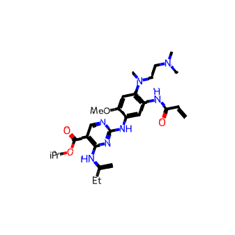 C=CC(=O)Nc1cc(Nc2ncc(C(=O)OC(C)C)c(NC(=C)CC)n2)c(OC)cc1N(C)CCN(C)C